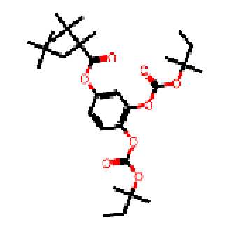 CCC(C)(C)OC(=O)Oc1ccc(OC(=O)C(C)(CC(C)(C)C)C(C)(C)C)cc1OC(=O)OC(C)(C)CC